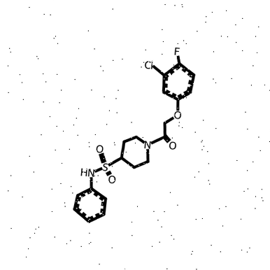 O=C(COc1ccc(F)c(Cl)c1)N1CCC(S(=O)(=O)Nc2ccccc2)CC1